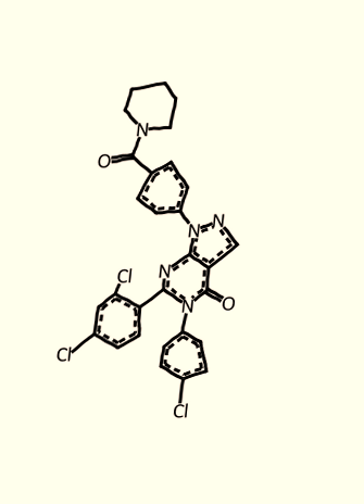 O=C(c1ccc(-n2ncc3c(=O)n(-c4ccc(Cl)cc4)c(-c4ccc(Cl)cc4Cl)nc32)cc1)N1CCCCC1